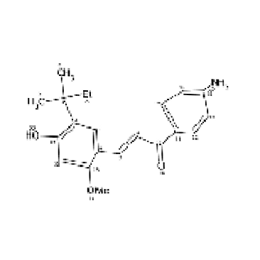 CCC(C)(C)c1cc(/C=C/C(=O)c2ccc(N)cc2)c(OC)cc1O